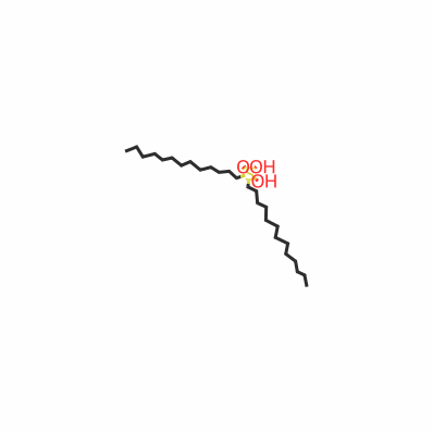 CCCCCCCCCCCCCS(=O)(O)(O)CCCCCCCCCCCCC